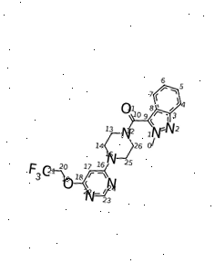 Cn1nc2ccccc2c1C(=O)N1CCN(c2cc(OCC(F)(F)F)ncn2)CC1